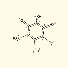 CC(C)n1c(C(=O)O)c(C(=O)O)c(=O)[nH]c1=O.[KH]